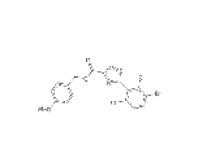 COc1ccc(COC(=O)c2csc(-c3c(Cl)ccc(Br)c3Cl)n2)cc1